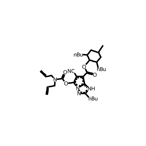 C=CCN(CC=C)C(=O)Oc1c(C#N)c(C(=O)OC2C(CCCC)CC(C)CC2CCCC)c2[nH]c(CCCC)nn12